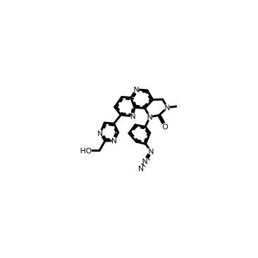 CN1Cc2cnc3ccc(-c4cnc(CO)nc4)nc3c2N(c2cccc(N=[N+]=[N-])c2)C1=O